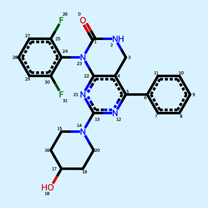 O=C1NCc2c(-c3ccccc3)nc(N3CCC(O)CC3)nc2N1c1c(F)cccc1F